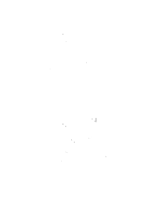 C=C1NC(c2ccc(Br)cc2)=NN1C